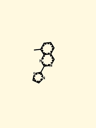 Cc1cccc2cnc(-c3nccs3)nc12